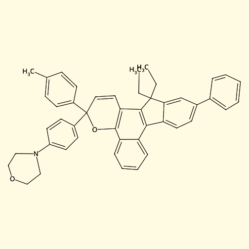 CCC1(CC)c2cc(-c3ccccc3)ccc2-c2c1c1c(c3ccccc23)OC(c2ccc(C)cc2)(c2ccc(N3CCOCC3)cc2)C=C1